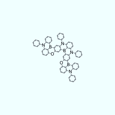 c1ccc(N2c3ccccc3B3c4cc5c(cc4Oc4cccc2c43)B2c3cc4c(cc3N(c3ccccc3)c3cccc(c32)N5c2ccccc2)B2c3ccccc3N(c3ccccc3)c3cccc(c32)O4)cc1